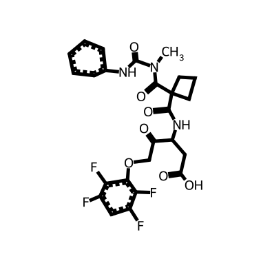 CN(C(=O)Nc1ccccc1)C(=O)C1(C(=O)NC(CC(=O)O)C(=O)COc2c(F)c(F)cc(F)c2F)CCC1